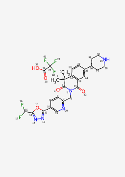 CC1(C)C(=O)N(Cc2ccc(-c3nnc(C(F)F)o3)cn2)C(=O)c2cc(C3CCNCC3)ccc21.O=C(O)C(F)(F)F